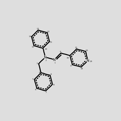 C(=NN(Cc1ccccc1)c1ccccc1)c1ccncc1